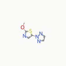 COc1ncc(-n2nccn2)s1